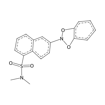 CN(C)S(=O)(=O)c1cccc2cc(N3Oc4ccccc4O3)ccc12